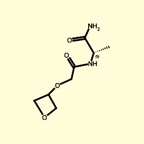 C[C@H](NC(=O)COC1COC1)C(N)=O